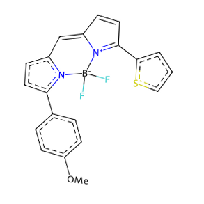 COc1ccc(-c2ccc3n2[B-](F)(F)[N+]2=C(c4cccs4)C=CC2=C3)cc1